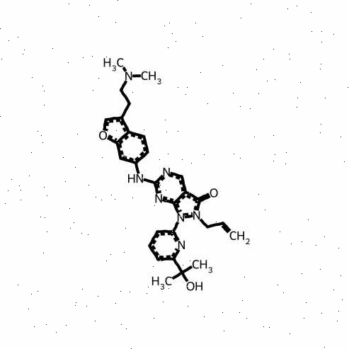 C=CCn1c(=O)c2cnc(Nc3ccc4c(CCN(C)C)coc4c3)nc2n1-c1cccc(C(C)(C)O)n1